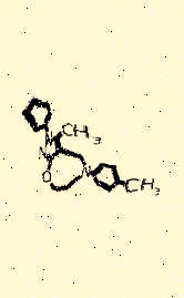 Cc1ccc(N2CCOc3nn(-c4ccccc4)c(C)c3C2)cc1